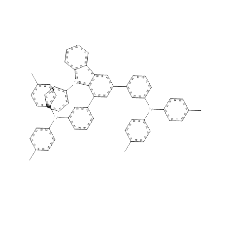 Cc1ccc(N(c2ccc(C)cc2)c2cccc(-c3cc(-c4cccc(N(c5ccc(C)cc5)c5ccc(C)cc5)c4)c4c(c3)c3ccccc3n4-c3ccccc3)c2)cc1